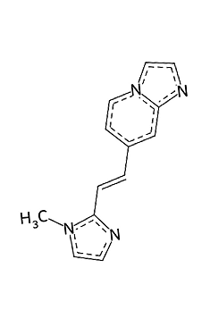 Cn1ccnc1/C=C/c1ccn2ccnc2c1